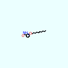 CCCCC=CCCCCOc1cccc(C(N)=O)c1